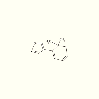 CC1(C)CC=CC=C1c1ccoc1